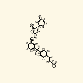 Cc1cccc(N2CC(COc3cccc(C(C)(C)c4ccc(CCC5CO5)cc4)c3)OC2=O)c1